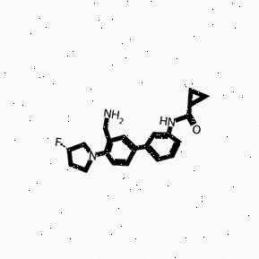 NCc1cc(-c2cccc(NC(=O)C3CC3)c2)ccc1N1CC[C@H](F)C1